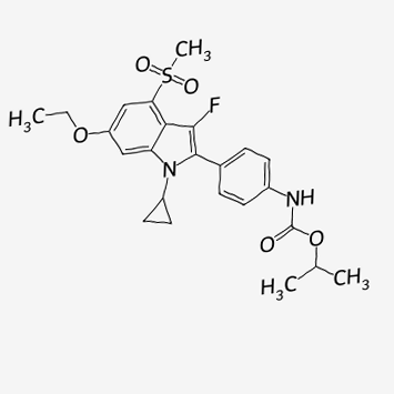 CCOc1cc(S(C)(=O)=O)c2c(F)c(-c3ccc(NC(=O)OC(C)C)cc3)n(C3CC3)c2c1